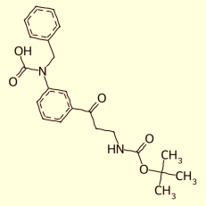 CC(C)(C)OC(=O)NCCC(=O)c1cccc(N(Cc2ccccc2)C(=O)O)c1